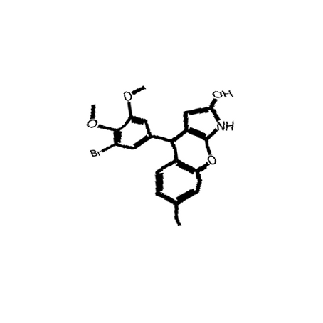 COc1cc(C2c3ccc(C)cc3Oc3[nH]c(O)cc32)cc(Br)c1OC